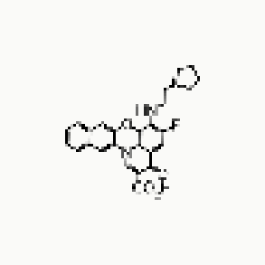 O=C(O)c1cn2c3c(c(NCCN4CCCC4)c(F)cc3c1=O)Oc1cc3ccccc3cc1-2